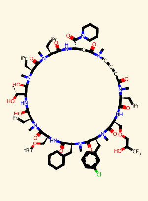 CC(C)C[C@H]1C(=O)N[C@@H](COCC(O)C(F)(F)F)C(=O)N(C)[C@@H](Cc2cccc(Cl)c2)C(=O)N(C)[C@@H](CC2CCCCC2)C(=O)N[C@@H](COC(C)(C)C)C(=O)N(C)[C@@H](CC(C)C)C(O)NC([C@@H](C)O)C(O)N(C)[C@@H](CC(C)C)C(=O)N(C)[C@@H](CC(C)C)C(=O)N[C@H](C(=O)N2CCCCC2)CC(=O)N(C)CCCC(=O)N1C